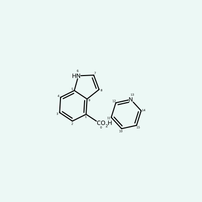 O=C(O)c1cccc2[nH]ccc12.c1ccncc1